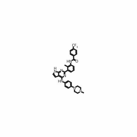 Cc1c(NC(=O)c2ccc(C(F)(F)F)cc2)cccc1-c1nc(Nc2ccc(N3CCN(C)CC3)cc2)c2cc[nH]c2n1